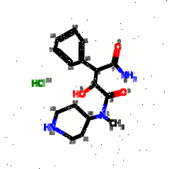 CN(C(=O)C(O)C(C(N)=O)c1ccccc1)C1CCNCC1.Cl